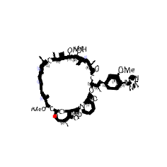 C=C1[C@H](C)C[C@H](C)/C=C/C=C/C=C(\C)[C@@H](OC)C[C@@H]2CC[C@@H](C)C(=O)C(O)(O2)C(=O)N2CCCC[C@H]2C(=O)O[C@H]([C@H](C)C[C@@H]2CC[C@H](n3cnnn3)[C@H](OC)C2)CC(=O)[C@H](C)/C=C(\C)[C@@H](O)[C@H]1OC